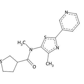 Cc1nc(-c2cccnc2)sc1N(C)C(=O)C1CCSC1